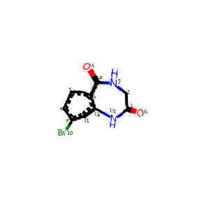 O=C1CNC(=O)c2ccc(Br)cc2N1